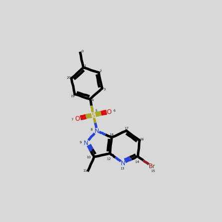 Cc1ccc(S(=O)(=O)n2nc(C)c3nc(Br)ccc32)cc1